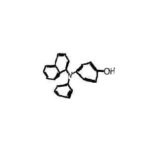 Oc1ccc(N(c2ccccc2)c2cccc3ccccc23)cc1